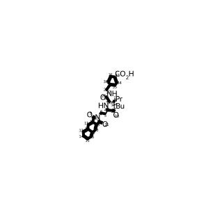 CC(C)C[C@H](N[C@H](CCN1C(=O)c2cc3ccccc3cc2C1=O)C(=O)C(C)(C)C)C(=O)NCc1ccc(C(=O)O)cc1